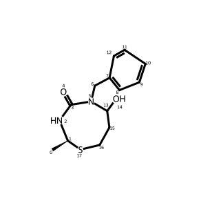 C[C@H]1NC(=O)N(Cc2ccccc2)C(O)CCS1